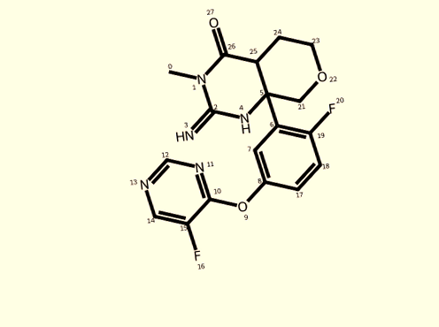 CN1C(=N)NC2(c3cc(Oc4ncncc4F)ccc3F)COCCC2C1=O